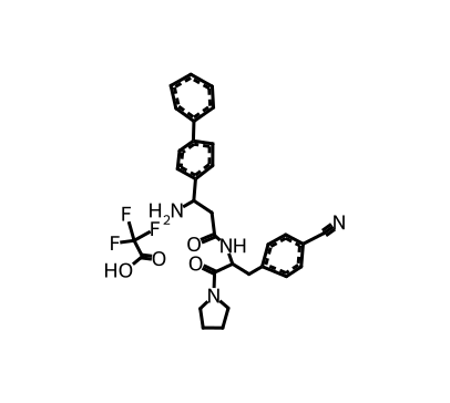 N#Cc1ccc(CC(NC(=O)CC(N)c2ccc(-c3ccccc3)cc2)C(=O)N2CCCC2)cc1.O=C(O)C(F)(F)F